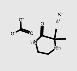 CC1(C)NCCNC1=O.O=C([O-])[O-].[K+].[K+]